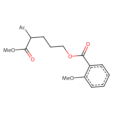 COC(=O)C(CCCOC(=O)c1ccccc1OC)C(C)=O